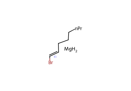 CCCCCC/C=C/Br.[MgH2]